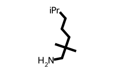 CC(C)CCCC(C)(C)CN